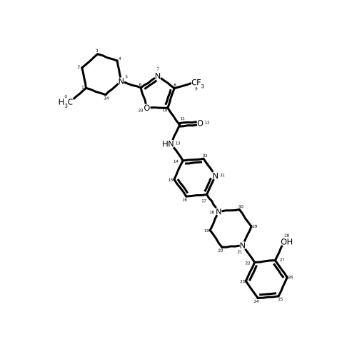 CC1CCCN(c2nc(C(F)(F)F)c(C(=O)Nc3ccc(N4CCN(c5ccccc5O)CC4)nc3)o2)C1